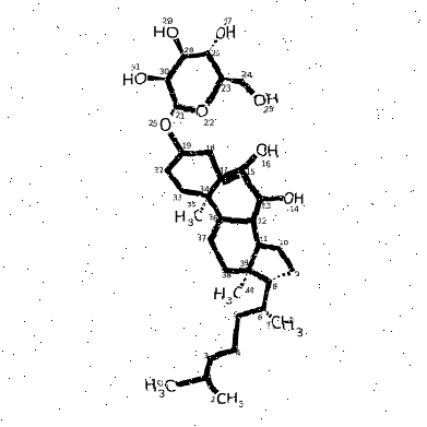 CC(C)CCC[C@@H](C)[C@H]1CCC2C3C(O)C(O)=C4CC(O[C@H]5O[C@H](CO)[C@@H](O)[C@H](O)[C@@H]5O)CC[C@]4(C)C3CC[C@@]21C